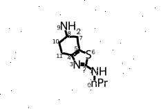 CCCNc1nc2c(s1)CC(N)CC2